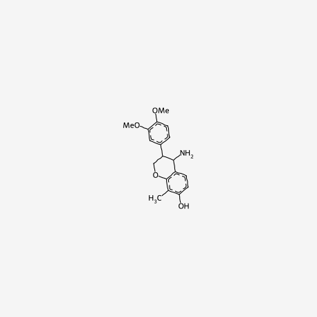 COc1ccc(C2COc3c(ccc(O)c3C)C2N)cc1OC